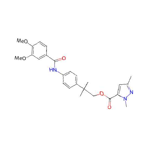 COc1ccc(C(=O)Nc2ccc(C(C)(C)COC(=O)c3cc(C)nn3C)cc2)cc1OC